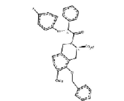 COc1ccc2c(c1OCc1ccccc1)C[C@H](C(=O)O)N(C(=O)[C@H](Oc1ccc(F)cc1)c1ccccc1)C2